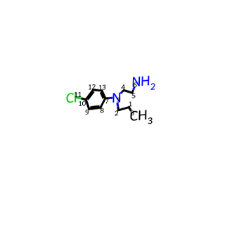 CCCN(CCN)c1ccc(Cl)cc1